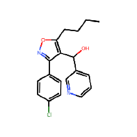 CCCCc1onc(-c2ccc(Cl)cc2)c1C(O)c1cccnc1